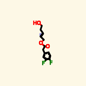 O=C(Cc1ccc(F)c(F)c1)OC/C=C/CCO